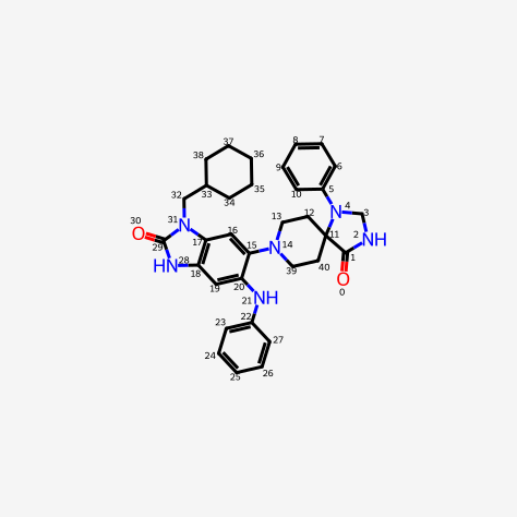 O=C1NCN(c2ccccc2)C12CCN(c1cc3c(cc1Nc1ccccc1)[nH]c(=O)n3CC1CCCCC1)CC2